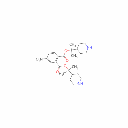 CC(C)(OC(=O)c1ccc([N+](=O)[O-])cc1C(=O)OC(C)(C)C1CCNCC1)C1CCNCC1